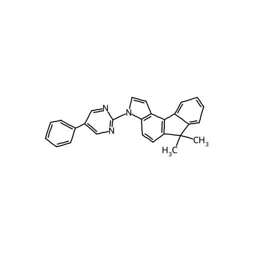 CC1(C)c2ccccc2-c2c1ccc1c2ccn1-c1ncc(-c2ccccc2)cn1